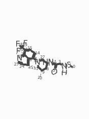 CSNCC(=O)N[C@@H]1C[C@H](C)CN(c2ccc(C(F)(F)F)c3ncccc23)C1